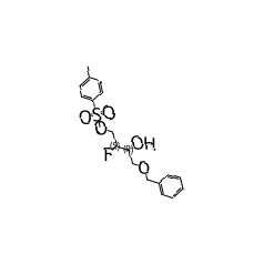 Cc1ccc(S(=O)(=O)OC[C@H](F)[C@H](O)COCc2ccccc2)cc1